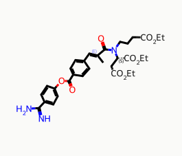 CCOC(=O)CCCN(C(=O)/C(C)=C/c1ccc(C(=O)Oc2ccc(C(=N)N)cc2)cc1)[C@@H](CC(=O)OCC)C(=O)OCC